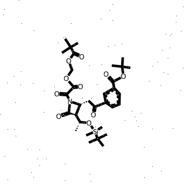 C[C@@H](O[Si](C)(C)C(C)(C)C)[C@H]1C(=O)N(C(=O)C(=O)OCOC(=O)C(C)(C)C)[C@@H]1CC(=O)c1cccc(C(=O)OC(C)(C)C)c1